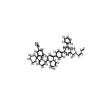 C=C/C=C\CC(C)C1=NC(c2ccc(C3=CC=C(C4C=CC=C5C4c4ccc(C#N)cc4C54CCCCC4)C4C=CC=CC34)cc2)=NC(c2ccccc2)N1